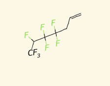 C=CCC(F)(F)C(F)(F)C(F)C(F)(F)F